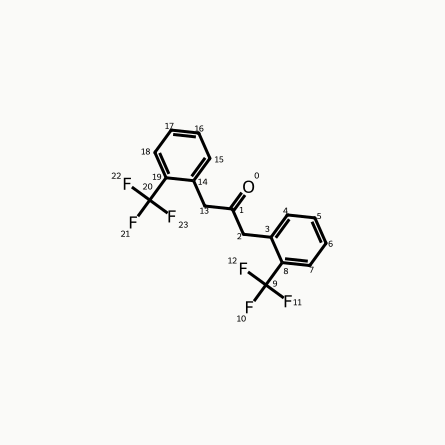 O=C(Cc1ccccc1C(F)(F)F)Cc1ccccc1C(F)(F)F